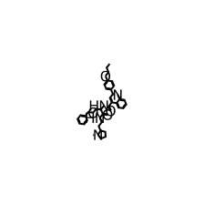 CCCOc1ccc(-c2cc(C(=O)NC(COCc3ccccc3)C(=O)NCCC3CCCN3C)c3ccccc3n2)cc1